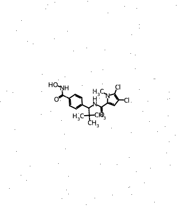 Cn1c(C(=O)NC(c2ccc(C(=O)NO)cc2)C(C)(C)C)cc(Cl)c1Cl